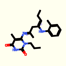 CC/C=C(\C/C(C)=N/c1c(C)c(=O)[nH]c(=O)n1CCC)Nc1ccccc1C